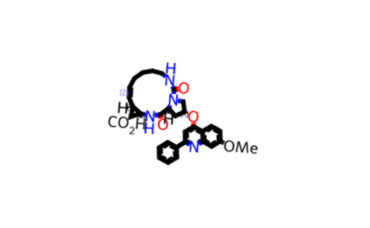 COc1ccc2c(O[C@@H]3C[C@H]4C(=O)N[C@]5(C(=O)O)C[C@H]5/C=C\CCCCNC(=O)N4C3)cc(-c3ccccc3)nc2c1